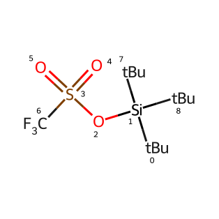 CC(C)(C)[Si](OS(=O)(=O)C(F)(F)F)(C(C)(C)C)C(C)(C)C